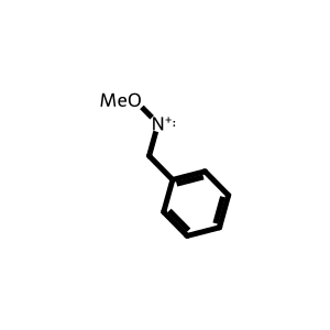 CO[N+]Cc1ccccc1